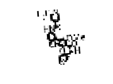 COc1cc(-c2cc(NC(=O)c3ccnc(C(F)(F)F)c3)ccc2C)cc2c1C(=O)NCC1(CCOCC1)O2